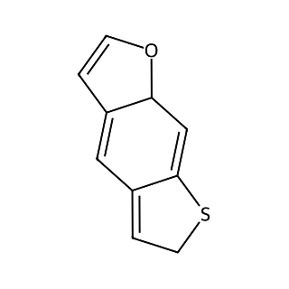 C1=CC2=CC3=CCSC3=CC2O1